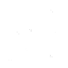 Cc1cc(C#N)cc(-c2ncnc3cc(CO)sc23)c1OC1CCCNC1